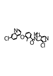 Cc1c(Oc2ccnc3cc(Cl)ccc23)cccc1C(=O)NCc1c(Cl)cncc1Cl